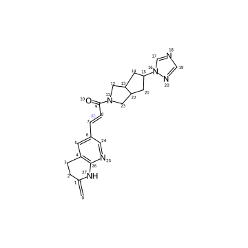 C=C1CCc2cc(/C=C/C(=O)N3CC4CC(n5cncn5)CC4C3)cnc2N1